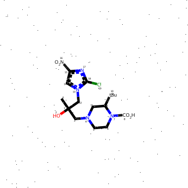 CC(O)(CN1CCN(C(=O)O)C(C(C)(C)C)C1)Cn1cc([N+](=O)[O-])nc1Cl